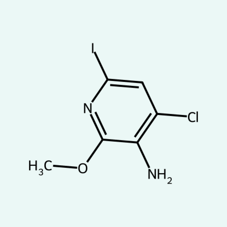 COc1nc(I)cc(Cl)c1N